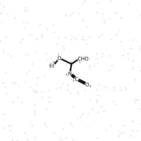 CCOC(C=O)N=C=O